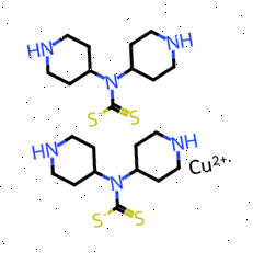 S=C([S-])N(C1CCNCC1)C1CCNCC1.S=C([S-])N(C1CCNCC1)C1CCNCC1.[Cu+2]